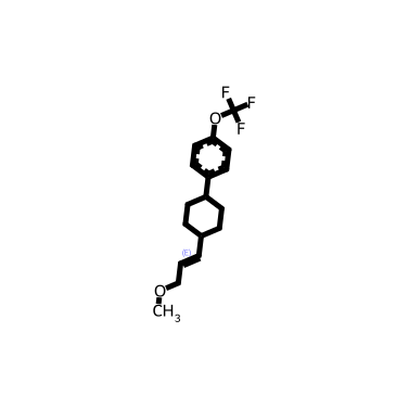 COC/C=C/C1CCC(c2ccc(OC(F)(F)F)cc2)CC1